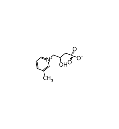 Cc1ccc[n+](CC(O)CS(=O)(=O)[O-])c1